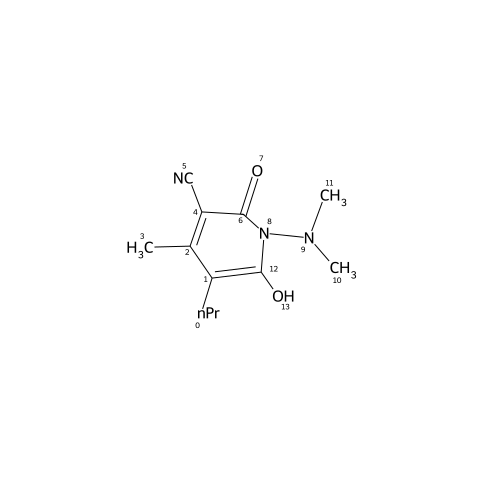 CCCc1c(C)c(C#N)c(=O)n(N(C)C)c1O